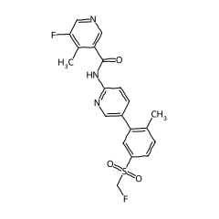 Cc1ccc(S(=O)(=O)CF)cc1-c1ccc(NC(=O)c2cncc(F)c2C)nc1